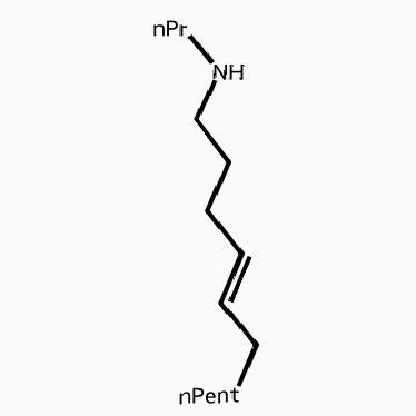 CCCCCC/C=C/CCCNCCC